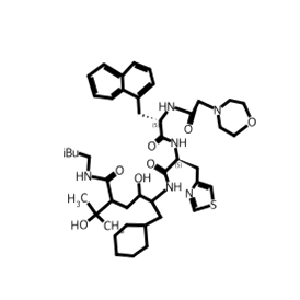 CCC(C)CNC(=O)C(CC(O)C(CC1CCCCC1)NC(=O)[C@H](Cc1cscn1)NC(=O)[C@H](Cc1cccc2ccccc12)NC(=O)CN1CCOCC1)C(C)(C)O